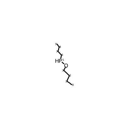 CCCCOPCCCC